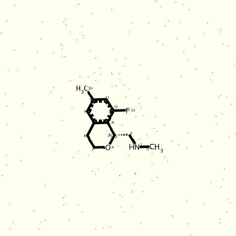 CNC[C@@H]1OCCc2cc(C)cc(F)c21